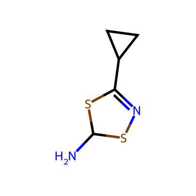 NC1SN=C(C2CC2)S1